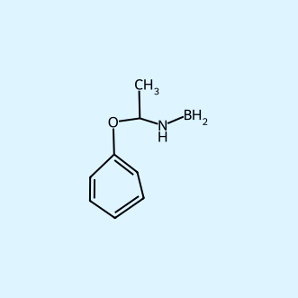 BNC(C)Oc1ccccc1